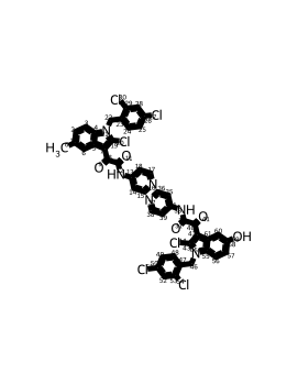 Cc1ccc2c(c1)c(C(=O)C(=O)Nc1ccncc1)c(Cl)n2Cc1ccc(Cl)cc1Cl.O=C(Nc1ccncc1)C(=O)c1c(Cl)n(Cc2ccc(Cl)cc2Cl)c2ccc(O)cc12